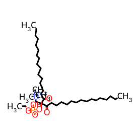 CCCCCCCCCCCCCCCC(=O)C(C[N+](C)(C)C)(OP(=O)(O)OCC)C(=O)CCCCCCCCCCCCCCC